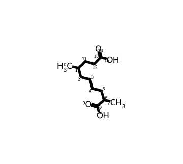 CC(CCCCC(C)C(=O)O)CCC(=O)O